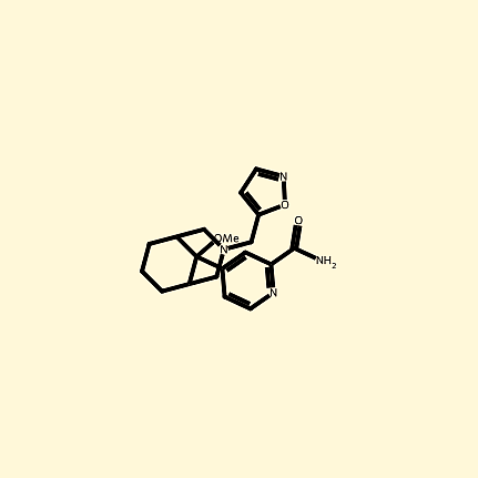 COC1(c2ccnc(C(N)=O)c2)C2CCCC1CN(Cc1ccno1)C2